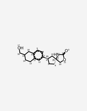 O=C1N[C@@]2(CC[C@@H](c3ccc4c(c3)CCC(CO)C4)C2)CO1